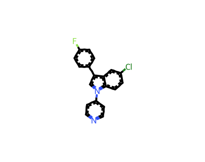 Fc1ccc(-c2cn(-c3ccncc3)c3ccc(Cl)cc23)cc1